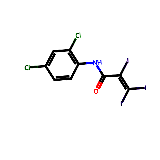 O=C(Nc1ccc(Cl)cc1Cl)C(I)=C(I)I